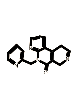 O=c1c2c(c3cccnc3n1Cc1ccccn1)CC=NC2